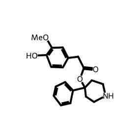 COc1cc(CC(=O)OC2(c3ccccc3)CCNCC2)ccc1O